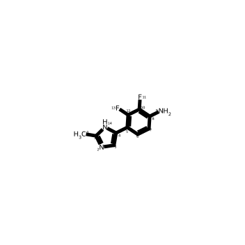 Cc1ncc(-c2ccc(N)c(F)c2F)[nH]1